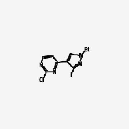 CCn1cc(-c2ccnc(Cl)n2)c(I)n1